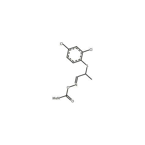 CNC(=O)ON=CC(C)Sc1ccc(Cl)cc1Cl